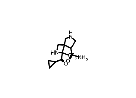 NC(=O)C1CNCC12CNC2(C(=O)C1CC1)C(F)(F)F